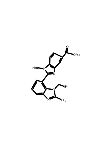 CCCCn1c(-c2cccc3nc(C(F)(F)F)n(CC(C)C)c23)nc2cc(C(=O)OC)ccc21